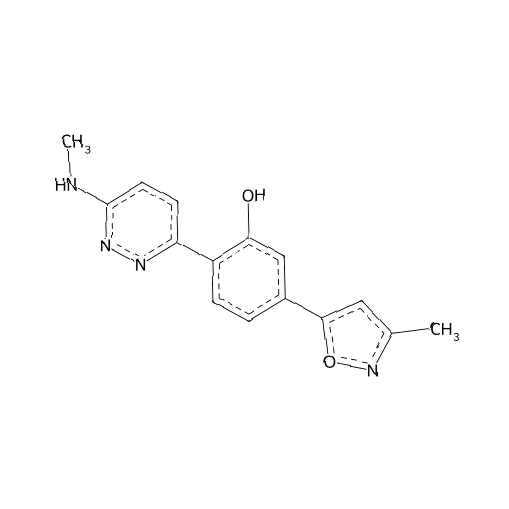 CNc1ccc(-c2ccc(-c3cc(C)no3)cc2O)nn1